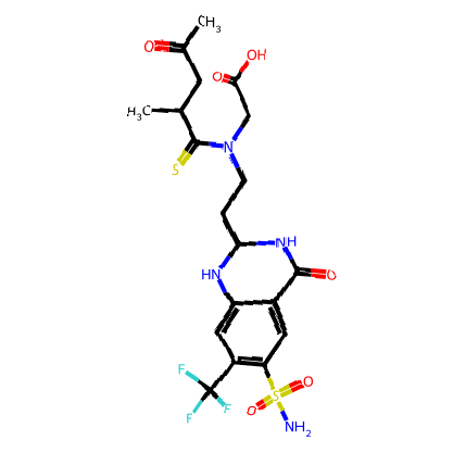 CC(=O)CC(C)C(=S)N(CCC1NC(=O)c2cc(S(N)(=O)=O)c(C(F)(F)F)cc2N1)CC(=O)O